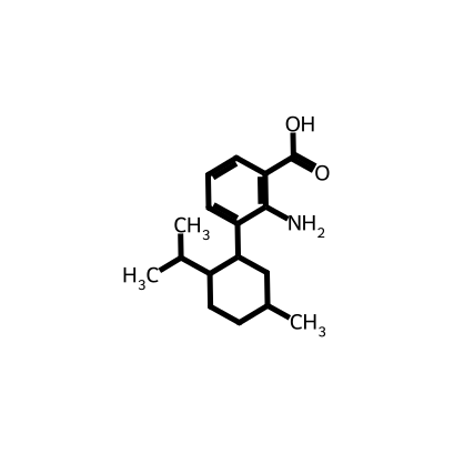 CC1CCC(C(C)C)C(c2cccc(C(=O)O)c2N)C1